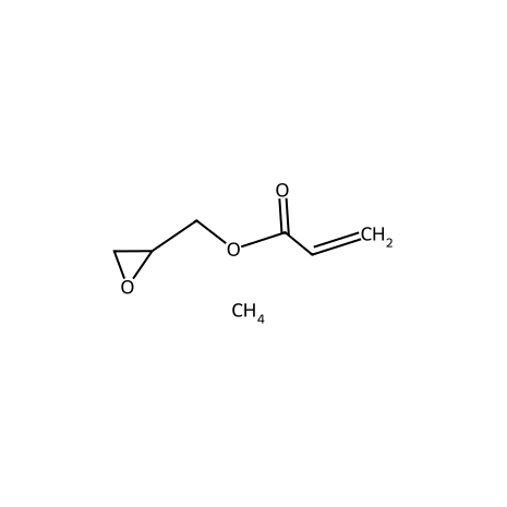 C.C=CC(=O)OCC1CO1